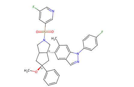 CO[C@@]1(c2ccccc2)CC2CN(S(=O)(=O)c3cncc(F)c3)C[C@@]2(c2cc3cnn(-c4ccc(F)cc4)c3cc2C)C1